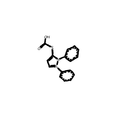 O=C(O)SC1=CC=S(c2ccccc2)N1c1ccccc1